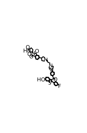 O=C1CCC(N2C(=O)c3ccc(C4CCN(CCCN5CCN(c6ccc(C(=O)c7c(-c8ccc(F)cc8)sc8cc(O)ccc78)cc6)CC5)CC4)cc3C2=O)C(=O)N1